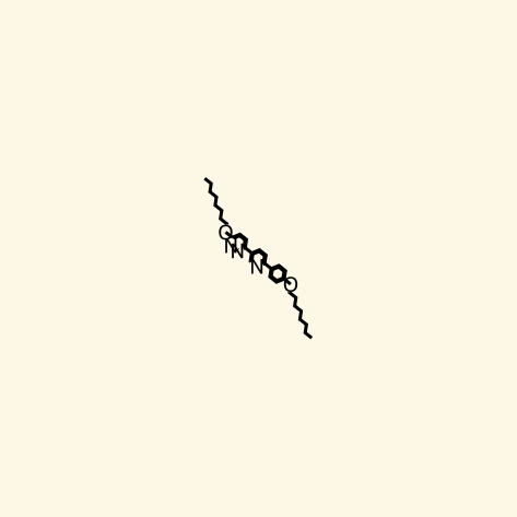 CCCCCCCCOc1ccc(-c2ccc(-c3ccc(OCCCCCCCC)nn3)cn2)cc1